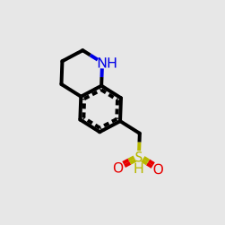 O=[SH](=O)Cc1ccc2c(c1)NCCC2